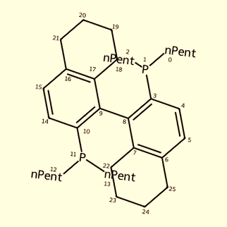 CCCCCP(CCCCC)c1ccc2c(c1-c1c(P(CCCCC)CCCCC)ccc3c1CCCC3)CCCC2